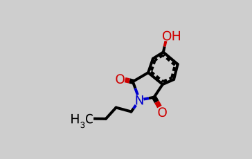 CCCCN1C(=O)c2ccc(O)cc2C1=O